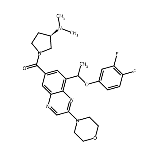 CC(Oc1ccc(F)c(F)c1)c1cc(C(=O)N2CC[C@@H](N(C)C)C2)cc2ncc(N3CCOCC3)nc12